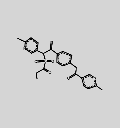 C=C(c1ccc(CC(=O)c2ccc(C)nc2)cc1)C(c1ccc(C)nc1)S(=O)(=O)C(=O)CC